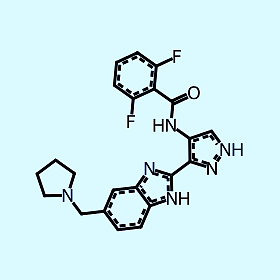 O=C(Nc1c[nH]nc1-c1nc2cc(CN3CCCC3)ccc2[nH]1)c1c(F)cccc1F